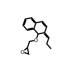 CCC=C1C=Cc2ccccc2C1OCC1CO1